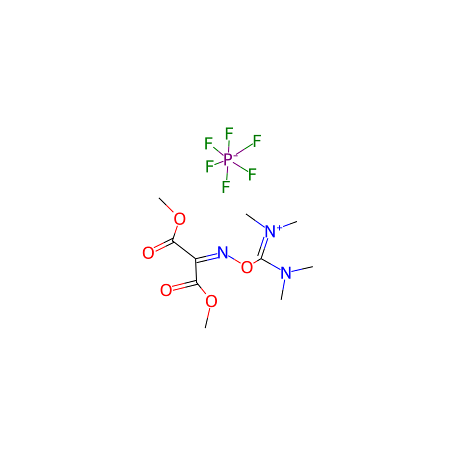 COC(=O)C(=NOC(N(C)C)=[N+](C)C)C(=O)OC.F[P-](F)(F)(F)(F)F